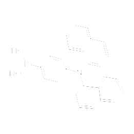 OB(O)c1ccc(N(c2cccc3ccccc23)c2cccc3ccccc23)cc1